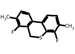 Cc1ccc2c(c1F)CSc1c-2ccc(C)c1F